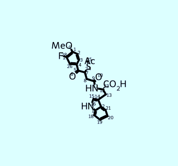 COc1ccc(C(=O)C(CC(=O)N[C@@H](Cc2c[nH]c3ccccc23)C(=O)O)SC(C)=O)cc1F